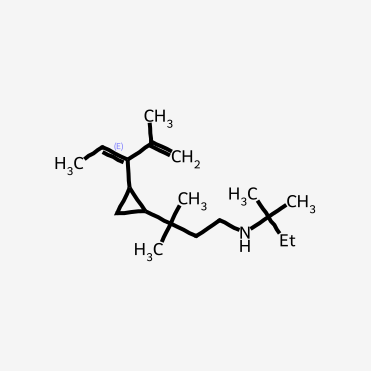 C=C(C)/C(=C/C)C1CC1C(C)(C)CCNC(C)(C)CC